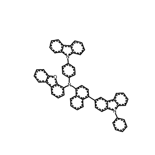 c1ccc(-n2c3ccccc3c3cc(-c4ccc(N(c5ccc(-n6c7ccccc7c7ccccc76)cc5)c5cccc6c5oc5ccccc56)c5ccccc45)ccc32)cc1